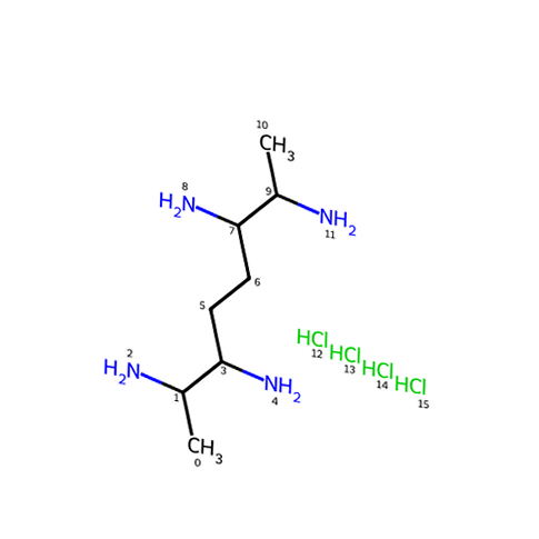 CC(N)C(N)CCC(N)C(C)N.Cl.Cl.Cl.Cl